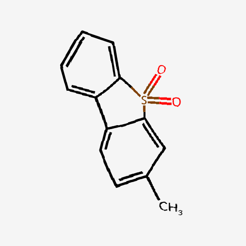 Cc1ccc2c(c1)S(=O)(=O)c1ccccc1-2